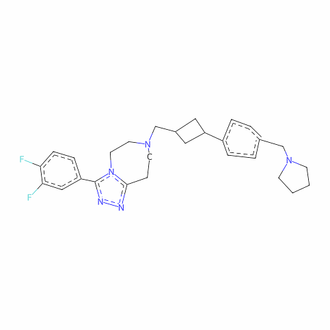 Fc1ccc(-c2nnc3n2CCN(CC2CC(c4ccc(CN5CCCC5)cc4)C2)CC3)cc1F